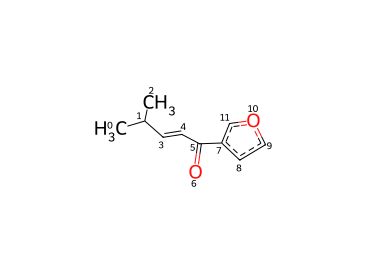 CC(C)C=CC(=O)c1ccoc1